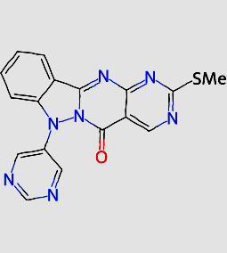 CSc1ncc2c(=O)n3c(nc2n1)c1ccccc1n3-c1cncnc1